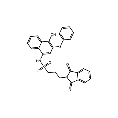 O=C1c2ccccc2C(=O)N1CCCS(=O)(=O)Nc1cc(Sc2ccccc2)c(O)c2ccccc12